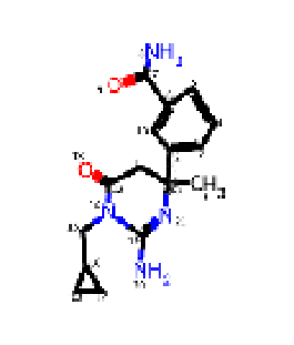 C[C@]1(c2cccc(C(N)=O)c2)CC(=O)N(CC2CC2)C(N)=N1